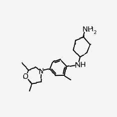 Cc1cc(N2CC(C)OC(C)C2)ccc1NC1CCC(N)CC1